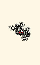 Cc1ccc2c(c1)c1oc3c4ccccc4n(-c4cccc(-n5c6ccccc6c6nnc7c8ccccc8n(-c8ccccc8)c7c65)c4)c3c1n2-c1ccccc1